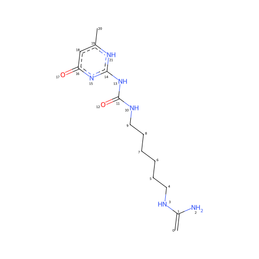 C=C(N)NCCCCCCNC(=O)Nc1nc(=O)cc(C)[nH]1